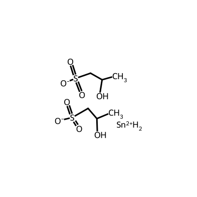 CC(O)CS(=O)(=O)[O-].CC(O)CS(=O)(=O)[O-].[SnH2+2]